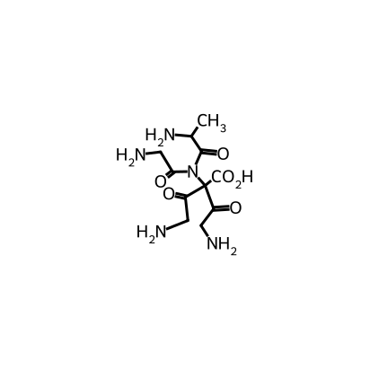 CC(N)C(=O)N(C(=O)CN)C(C(=O)O)(C(=O)CN)C(=O)CN